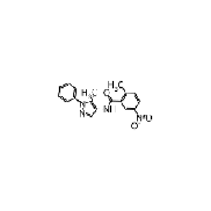 Cc1ccc([N+](=O)[O-])cc1C(=O)Nc1cnn(-c2ccccc2)c1C